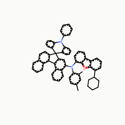 Cc1ccc(N(c2cc3c(c4ccccc24)-c2c(ccc4ccccc24)C32c3ccccc3N(c3ccccc3)c3ccccc32)c2cccc3c2oc2c(C4CCCCC4)cccc23)c(C)c1